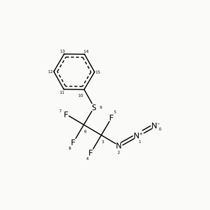 [N-]=[N+]=NC(F)(F)C(F)(F)Sc1ccccc1